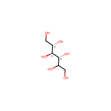 OCC(O)[C@@H](O)[C@@H](O)[C@@H](O)CO